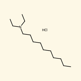 CCCCCCCCCCN(CC)CC.Cl